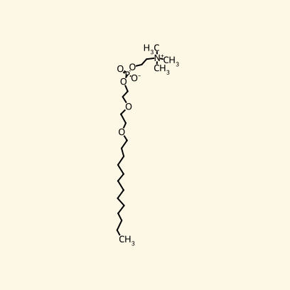 CCCCCCCCCCCCCOCCOCCOP(=O)([O-])OCC[N+](C)(C)C